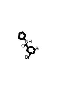 O=C(Nc1ccccc1)c1cc(Br)cc(Br)c1